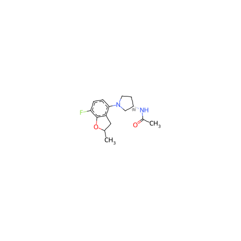 CC(=O)N[C@H]1CCN(c2ccc(F)c3c2CC(C)O3)C1